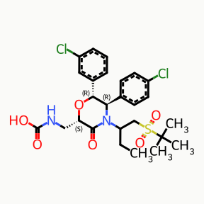 CCC(CS(=O)(=O)C(C)(C)C)N1C(=O)[C@H](CNC(=O)O)O[C@H](c2cccc(Cl)c2)[C@H]1c1ccc(Cl)cc1